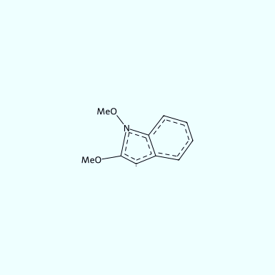 COc1[c]c2ccccc2n1OC